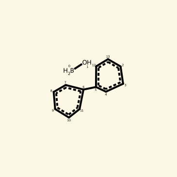 BO.c1ccc(-c2ccccc2)cc1